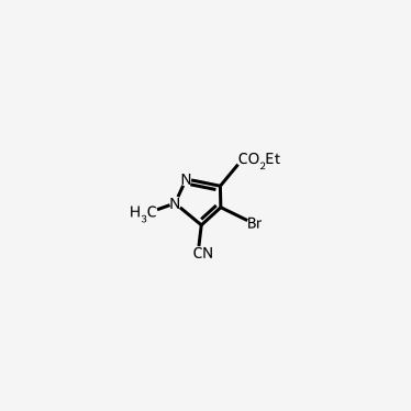 CCOC(=O)c1nn(C)c(C#N)c1Br